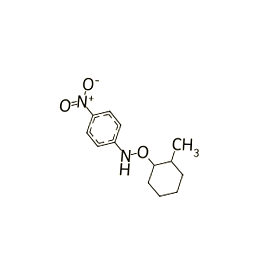 CC1CCCCC1ONc1ccc([N+](=O)[O-])cc1